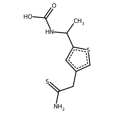 CC(NC(=O)O)c1cc(CC(N)=S)cs1